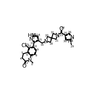 CN1C(=O)CCc2c1ccc(-c1n[nH]cc1CN1CC3(C1)CN(C(=O)c1cnn(C)c1)C3)c2Cl